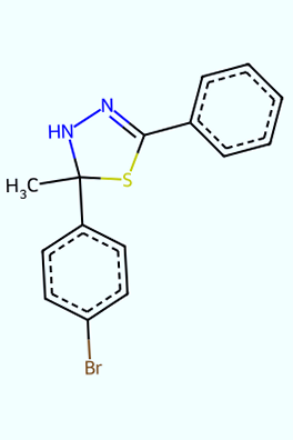 CC1(c2ccc(Br)cc2)NN=C(c2ccccc2)S1